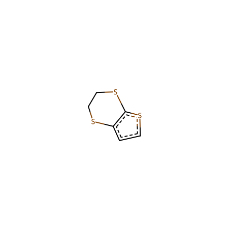 c1cc2c(s1)SCCS2